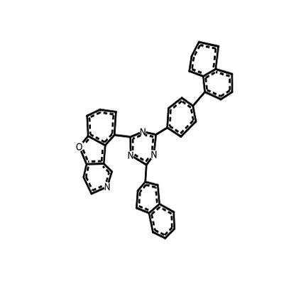 c1ccc2cc(-c3nc(-c4ccc(-c5cccc6ccccc56)cc4)nc(-c4cccc5oc6ccncc6c45)n3)ccc2c1